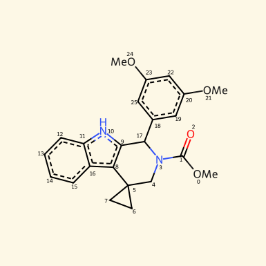 COC(=O)N1CC2(CC2)c2c([nH]c3ccccc23)C1c1cc(OC)cc(OC)c1